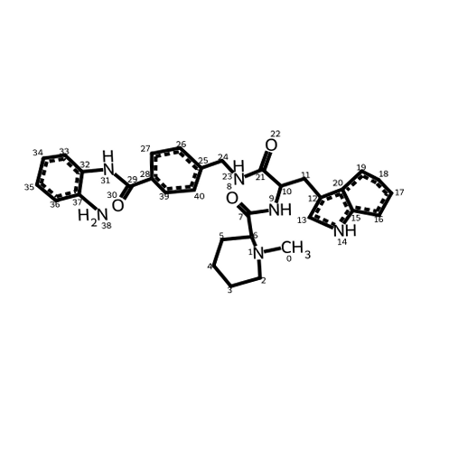 CN1CCCCC1C(=O)NC(Cc1c[nH]c2ccccc12)C(=O)NCc1ccc(C(=O)Nc2ccccc2N)cc1